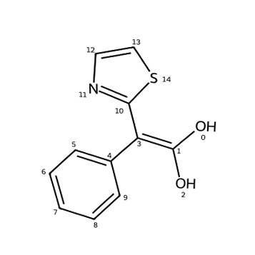 OC(O)=C(c1ccccc1)c1nccs1